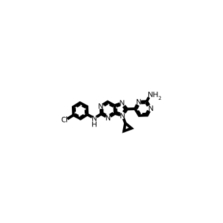 Nc1nccc(-c2nc3cnc(Nc4cccc(Cl)c4)nc3n2C2CC2)n1